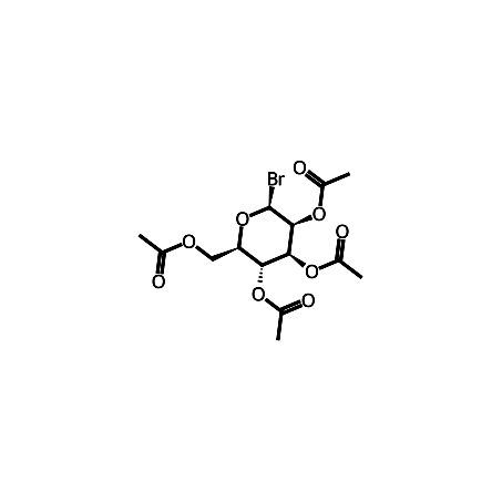 CC(=O)OC[C@H]1O[C@@H](Br)[C@@H](OC(C)=O)[C@@H](OC(C)=O)[C@@H]1OC(C)=O